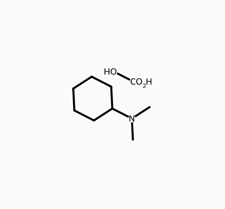 CN(C)C1CCCCC1.O=C(O)O